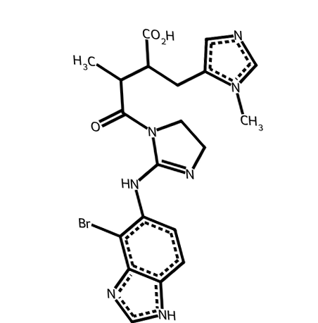 CC(C(=O)N1CCN=C1Nc1ccc2[nH]cnc2c1Br)C(Cc1cncn1C)C(=O)O